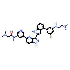 CN(C)CCNc1cc(F)cc(-c2cccc3[nH]c(-c4n[nH]c5ccc(-c6cncc(NC(=O)CN(C)C)c6)nc45)cc23)c1